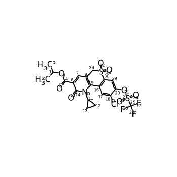 CC(C)OC(=O)c1cc2c(n(C3CC3)c1=O)-c1cc(Cl)c(OS(=O)(=O)C(F)(F)F)cc1S(=O)(=O)C2